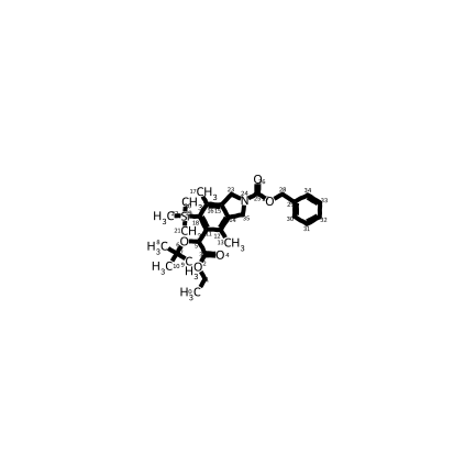 CCOC(=O)C(OC(C)(C)C)c1c(C)c2c(c(C)c1[Si](C)(C)C)CN(C(=O)OCc1ccccc1)C2